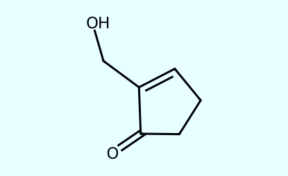 O=C1CCC=C1CO